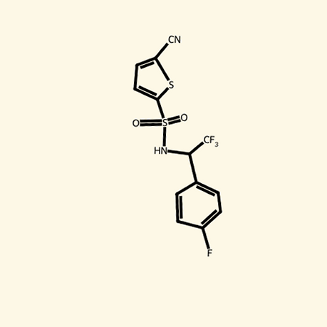 N#Cc1ccc(S(=O)(=O)NC(c2ccc(F)cc2)C(F)(F)F)s1